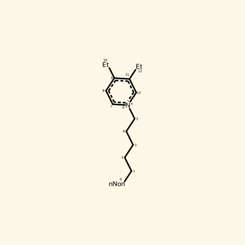 CCCCCCCCCCCCCC[n+]1ccc(CC)c(CC)c1